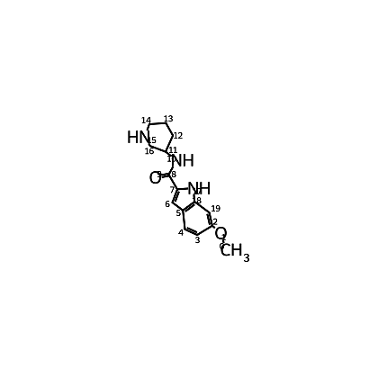 COc1ccc2cc(C(=O)NC3CCCNC3)[nH]c2c1